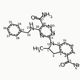 CC1Cc2c(C(N)=O)cccc2N1c1nnc(C(N)=O)c(NCc2ccccc2)n1